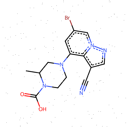 CC1CN(c2cc(Br)cn3ncc(C#N)c23)CCN1C(=O)O